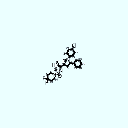 CNC(=NS(=O)(=O)N1CCC(F)(F)CC1)C1=NN(c2ccc(Cl)cc2)C(c2ccccc2)C1